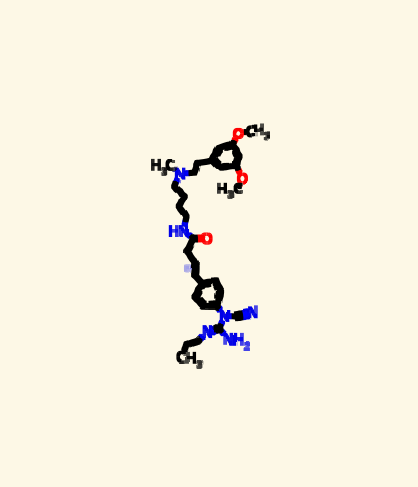 CCCN=C(N)N(C#N)c1ccc(/C=C/CC(=O)NCCCCN(C)CCc2cc(OC)cc(OC)c2)cc1